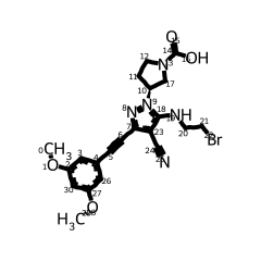 COc1cc(C#Cc2nn([C@H]3CCN(C(=O)O)C3)c(NCCBr)c2C#N)cc(OC)c1